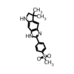 CC1(C)CNc2cc3[nH]c(-c4ccc(S(C)(=O)=O)cc4)nc3cc21